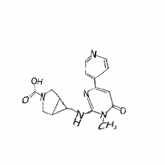 Cn1c(NC2C3CN(C(=O)O)CC32)nc(-c2ccncc2)cc1=O